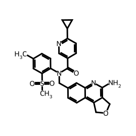 Cc1ccc(N(Cc2ccc3c4c(c(N)nc3c2)COC4)C(=O)c2ccc(C3CC3)nc2)c(S(C)(=O)=O)c1